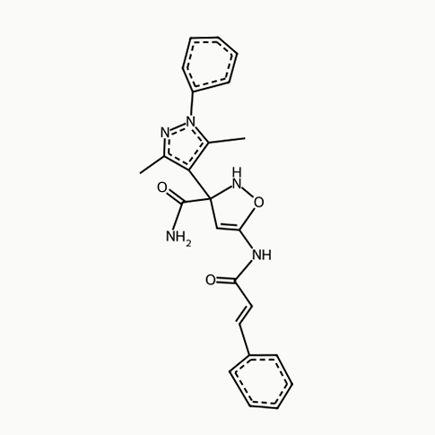 Cc1nn(-c2ccccc2)c(C)c1C1(C(N)=O)C=C(NC(=O)C=Cc2ccccc2)ON1